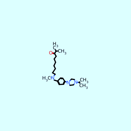 CC(C)C(=O)CCCCCCCN(C)Cc1ccc(N2CCN(C(C)C)CC2)cc1